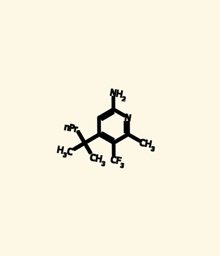 CCCC(C)(C)c1cc(N)nc(C)c1C(F)(F)F